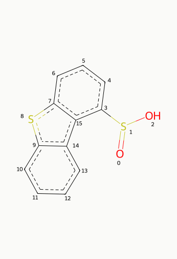 O=S(O)c1cccc2sc3ccccc3c12